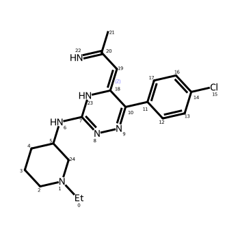 CCN1CCCC(NC2=NN=C(c3ccc(Cl)cc3)/C(=C/C(C)=N)N2)C1